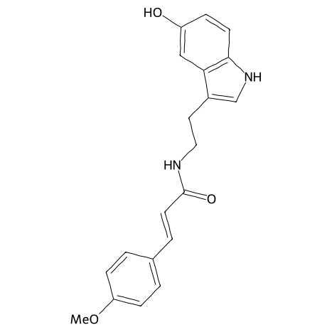 COc1ccc(/C=C/C(=O)NCCc2c[nH]c3ccc(O)cc23)cc1